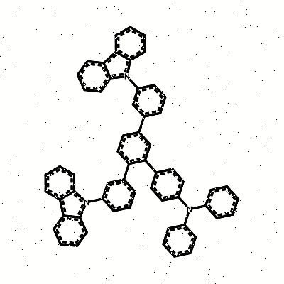 c1ccc(N(c2ccccc2)c2ccc(-c3cc(-c4cccc(-n5c6ccccc6c6ccccc65)c4)ccc3-c3cccc(-n4c5ccccc5c5ccccc54)c3)cc2)cc1